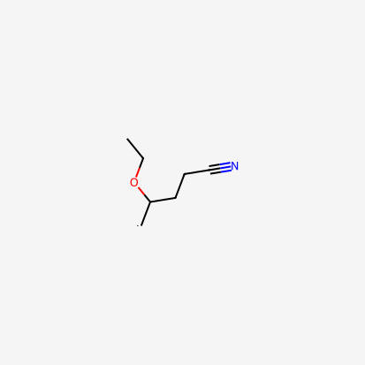 [CH2]C(CCC#N)OCC